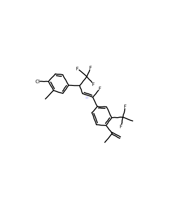 C=C(C)c1ccc(/C(F)=C/C(c2ccc(Cl)c(C)c2)C(F)(F)F)cc1C(C)(F)F